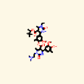 CCN1C(=O)NC(c2cc(C)c(OC(=O)C3=C(C)N(CCN(C)C)C(=O)NC3c3cc(C)c(O)c(OC)c3)c(OC)c2)C(C(=O)OC(C)C(C)(C)C)=C1C